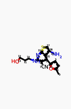 Cc1ccc(-c2c(C#N)c(NCCCO)nc3scc(N)c23)o1